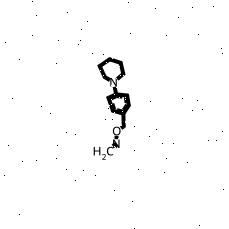 C=NOCc1ccc(N2CCCCC2)cc1